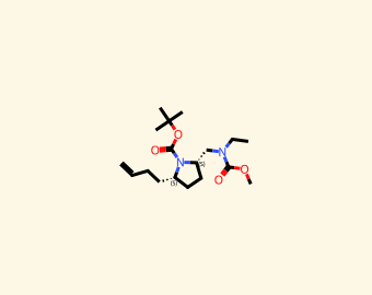 C=CCC[C@H]1CC[C@@H](CN(CC)C(=O)OC)N1C(=O)OC(C)(C)C